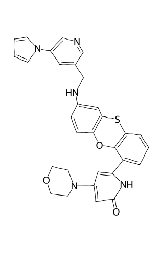 O=c1cc(N2CCOCC2)cc(-c2cccc3c2Oc2ccc(NCc4cncc(-n5cccc5)c4)cc2S3)[nH]1